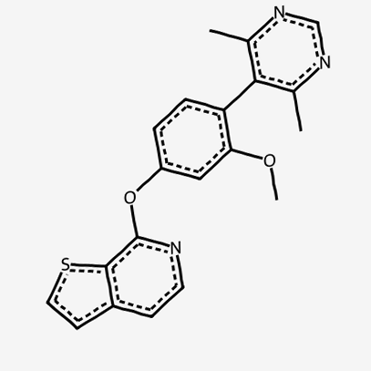 COc1cc(Oc2nccc3ccsc23)ccc1-c1c(C)ncnc1C